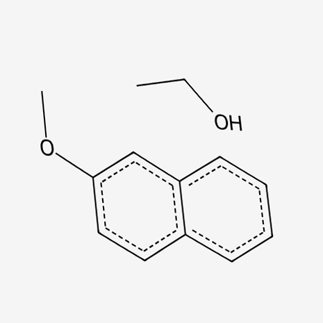 CCO.COc1ccc2ccccc2c1